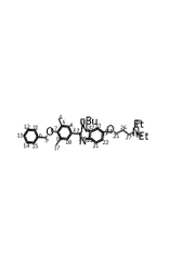 CCCCn1c(-c2cc(C)c(OCc3ccccc3)c(C)c2)nc2ccc(OCCCN(CC)CC)cc21